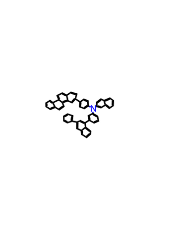 c1ccc(-c2cc(-c3cccc(N(c4ccc(-c5ccc6ccc7c8ccccc8ccc7c6c5)cc4)c4ccc5ccccc5c4)c3)c3ccccc3c2)cc1